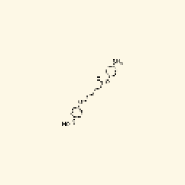 Cc1ccc(OC(=O)CCCCCOc2ccc(OC#N)cc2)cc1